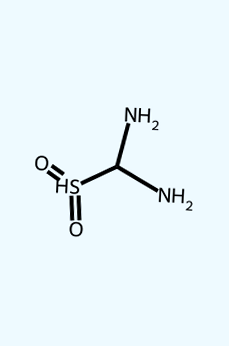 NC(N)[SH](=O)=O